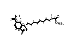 Cc1nn(CCCCCCCCNC(=O)OC(C)(C)C)c2cc(C(N)=O)ccc12